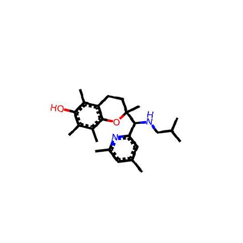 Cc1cc(C)nc(C(NCC(C)C)C2(C)CCc3c(C)c(O)c(C)c(C)c3O2)c1